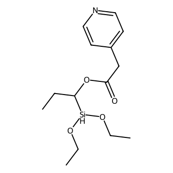 CCO[SiH](OCC)C(CC)OC(=O)Cc1ccncc1